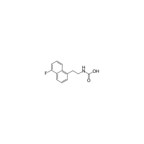 O=C(O)NCCc1cccc2c(F)cccc12